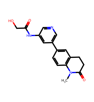 CN1C(=O)CCc2cc(-c3cncc(NC(=O)CO)c3)ccc21